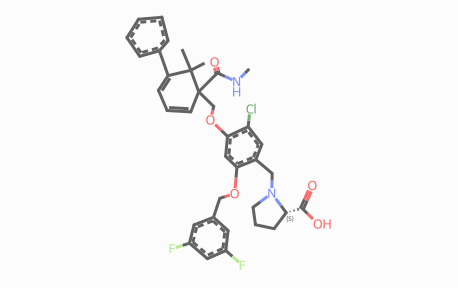 CNC(=O)C1(COc2cc(OCc3cc(F)cc(F)c3)c(CN3CCC[C@H]3C(=O)O)cc2Cl)C=CC=C(c2ccccc2)C1(C)C